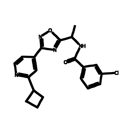 CC(NC(=O)c1cccc(Cl)c1)c1nc(-c2ccnc(C3CCC3)c2)no1